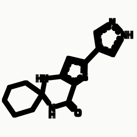 O=C1NC2(CCCCC2)Nc2cc(-c3cn[nH]c3)sc21